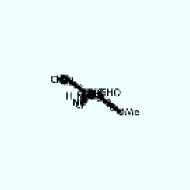 COCCOCCOCCOC(OC=O)[n+]1ccc(N(CCCCCCOc2ccc(Cl)cc2)C(N)=NC#N)cc1.[Cl-]